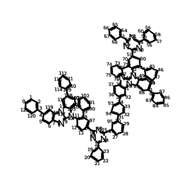 c1ccc(-c2ccc3nc4n(-c5ccc(-c6nc(-c7ccccc7)nc(-c7cccc(-c8ccc(-c9ccc%10nc%11n(-c%12c(-c%13ccccc%13)cc(-c%13nc(-c%14ccccc%14)nc(-c%14ccccc%14)n%13)cc%12-c%12ccccc%12)c%12ccc(-c%13ccccc%13)cc%12n%11c%10c9)cc8)c7)n6)cc5-c5ccccc5)c5ccc(-c6ccccc6)cc5n4c3c2)cc1